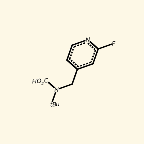 CC(C)(C)N(Cc1ccnc(F)c1)C(=O)O